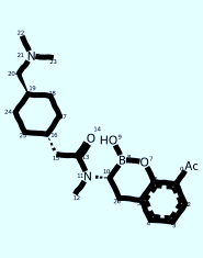 CC(=O)c1cccc2c1OB(O)[C@@H](N(C)C(=O)C[C@H]1CC[C@H](CN(C)C)CC1)C2